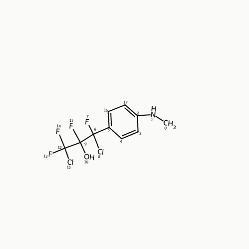 CNc1ccc(C(F)(Cl)C(O)(F)C(F)(F)Cl)cc1